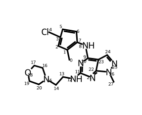 Cc1cc(Cl)ccc1Nc1nc(NCCN2CCOCC2)nc2c1cnn2C